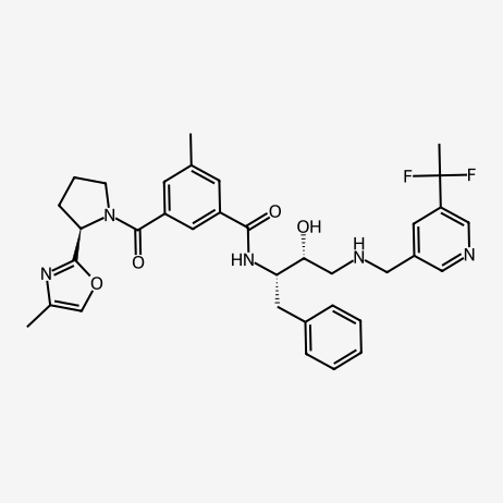 Cc1cc(C(=O)N[C@@H](Cc2ccccc2)[C@H](O)CNCc2cncc(C(C)(F)F)c2)cc(C(=O)N2CCC[C@@H]2c2nc(C)co2)c1